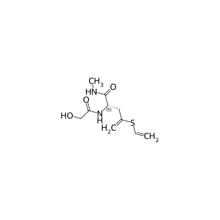 C=CSC(=C)C[C@H](NC(=O)CO)C(=O)NC